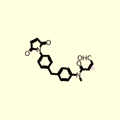 CN(C(=O)/C=C\C=O)c1ccc(Cc2ccc(N3C(=O)C=CC3=O)cc2)cc1